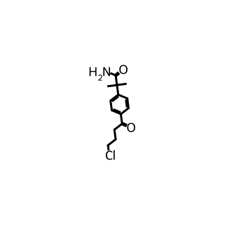 CC(C)(C(N)=O)c1ccc(C(=O)CCCCl)cc1